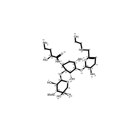 CN[C@@H]1[C@@H](O)[C@@H](O[C@@H]2[C@@H](O)[C@H](O[C@H]3OC(CNCCO)=CC[C@H]3N)[C@@H](N)C[C@H]2NC(=O)[C@@H](O)CCN)OC[C@]1(C)O